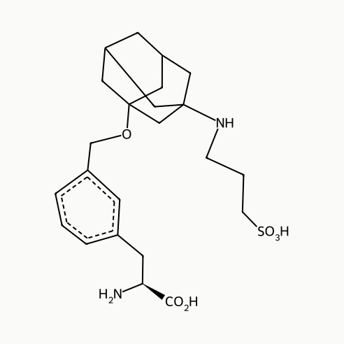 N[C@@H](Cc1cccc(COC23CC4CC(CC(NCCCS(=O)(=O)O)(C4)C2)C3)c1)C(=O)O